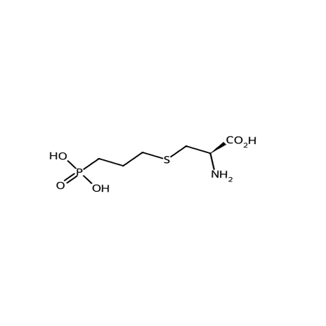 N[C@@H](CSCCCP(=O)(O)O)C(=O)O